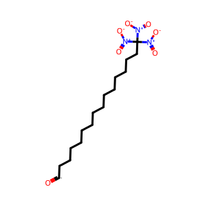 O=[C]CCCCCCCCCCCCCCC([N+](=O)[O-])([N+](=O)[O-])[N+](=O)[O-]